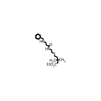 CCOC(=O)CC(C)(C)CCSCCNC(=O)CCNCc1ccccc1